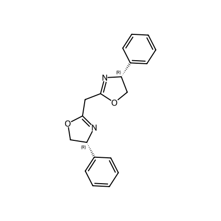 c1ccc([C@@H]2COC(CC3=N[C@H](c4ccccc4)CO3)=N2)cc1